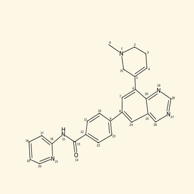 CN1CCC=C(c2cc(-c3ccc(C(=O)Nc4ccccn4)cc3)cc3cncnc23)C1